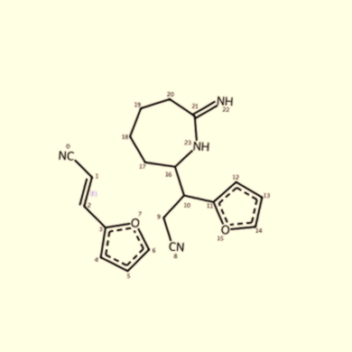 N#C/C=C/c1ccco1.N#CCC(c1ccco1)C1CCCCC(=N)N1